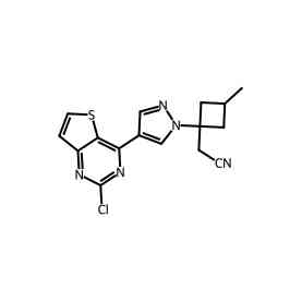 CC1CC(CC#N)(n2cc(-c3nc(Cl)nc4ccsc34)cn2)C1